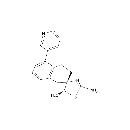 C[C@@H]1OC(N)=N[C@]12CCc1c(cccc1-c1cccnc1)C2